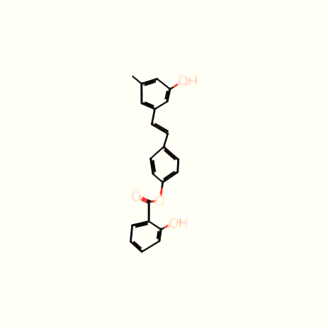 Cc1cc(O)cc(/C=C/c2ccc(OC(=O)c3ccccc3O)cc2)c1